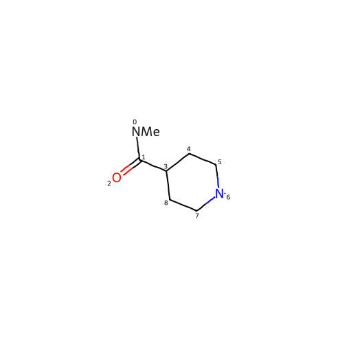 CNC(=O)C1CC[N]CC1